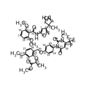 CCC(C)(CC)c1cc(NC(=O)c2c(OC)cccc2OC)on1.CCc1ccc(COc2ccc(-n3c(=O)cc(C(F)(F)F)n(C)c3=O)cc2)c(OC(C)C(=O)OC)c1